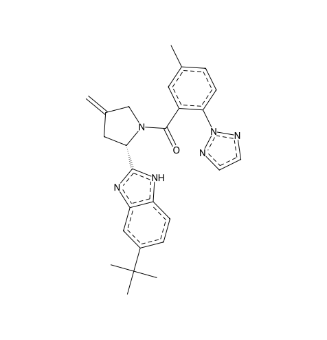 C=C1C[C@@H](c2nc3cc(C(C)(C)C)ccc3[nH]2)N(C(=O)c2cc(C)ccc2-n2nccn2)C1